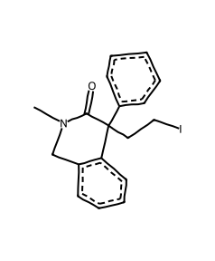 CN1Cc2ccccc2C(CCI)(c2ccccc2)C1=O